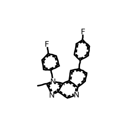 Cc1nc2cnc3ccc(-c4ccc(F)cc4)cc3c2n1-c1ccc(F)cc1